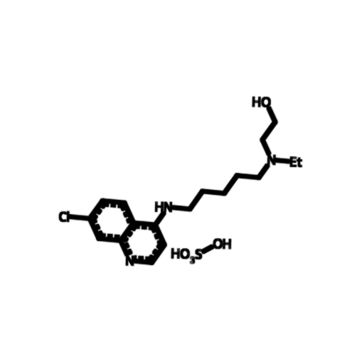 CCN(CCO)CCCCCNc1ccnc2cc(Cl)ccc12.O=S(=O)(O)O